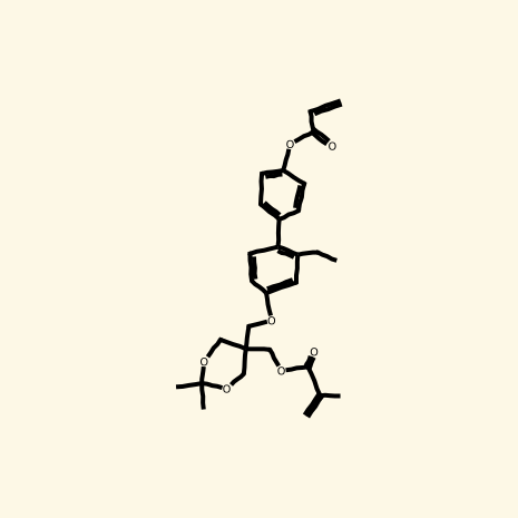 C=CC(=O)Oc1ccc(-c2ccc(OCC3(COC(=O)C(=C)C)COC(C)(C)OC3)cc2CC)cc1